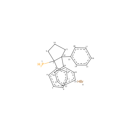 Br.PC1(c2ccccc2)CCCC1(c1ccccc1)c1ccccc1